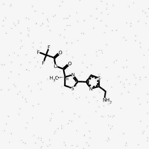 C[C@@]1(C(=O)OC(=O)C(F)(F)F)CSC(c2csc(CN)n2)=N1